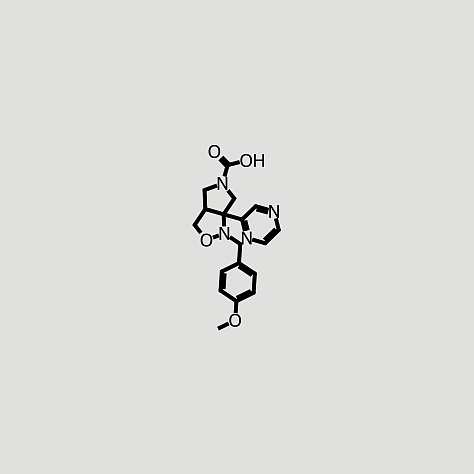 COc1ccc(CN2OCC3CN(C(=O)O)CC32c2cnccn2)cc1